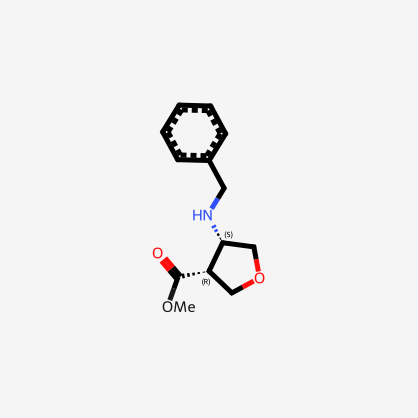 COC(=O)[C@H]1COC[C@H]1NCc1ccccc1